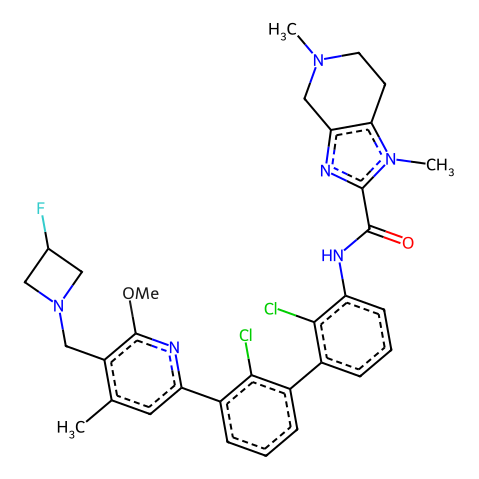 COc1nc(-c2cccc(-c3cccc(NC(=O)c4nc5c(n4C)CCN(C)C5)c3Cl)c2Cl)cc(C)c1CN1CC(F)C1